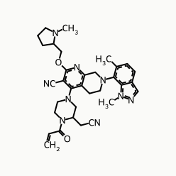 C=CC(=O)N1CCN(c2c(C#N)c(OCC3CCCN3C)nc3c2CCN(c2c(C)ccc4cnn(C)c24)C3)CC1CC#N